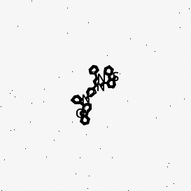 c1ccc(-c2cc(-c3ccc(-n4c5ccccc5c5c6oc7ccccc7c6ccc54)cc3)nc(-c3cccc4sc5ccccc5c34)n2)cc1